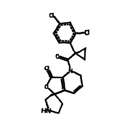 O=C1OC2(CCNC2)C2=C1N(C(=O)C1(c3ccc(Cl)cc3Cl)CC1)CC=C2